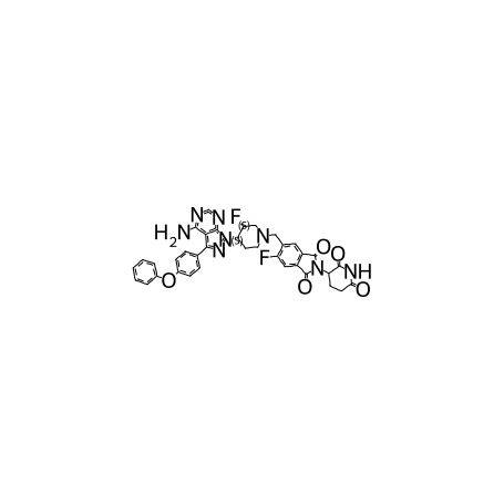 Nc1ncnc2c1c(-c1ccc(Oc3ccccc3)cc1)nn2[C@H]1CCN(Cc2cc3c(cc2F)C(=O)N(C2CCC(=O)NC2=O)C3=O)C[C@@H]1F